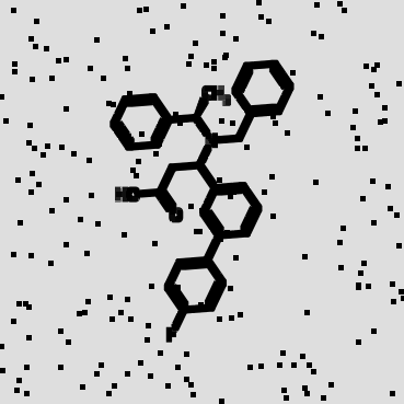 C[C@H](c1ccccc1)N(Cc1ccccc1)C(CC(=O)O)c1cccc(-c2ccc(F)cc2)c1